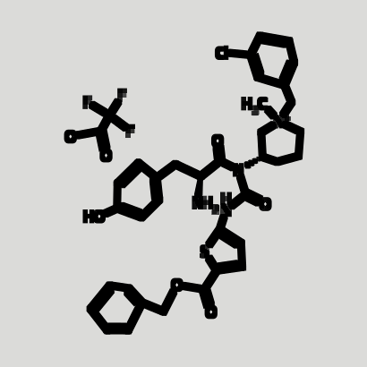 C[N+]1(Cc2cccc(Cl)c2)CCC[C@H](N(C(=O)Nc2ccc(C(=O)OCc3ccccc3)s2)C(=O)[C@@H](N)Cc2ccc(O)cc2)C1.O=C([O-])C(F)(F)F